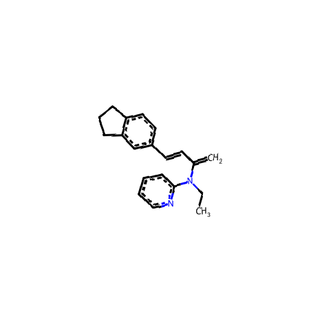 C=C(/C=C/c1ccc2c(c1)CCC2)N(CC)c1ccccn1